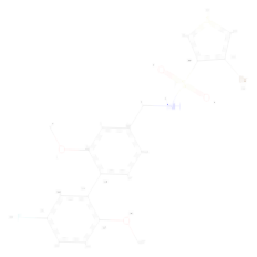 COc1cc(CNS(=O)(=O)c2cscc2Br)ccc1-c1cc(F)ccc1OC